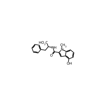 Cn1c(C(=O)NC(Cc2ccccc2)C(=O)O)cc2c(O)cccc21